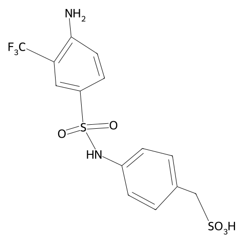 Nc1ccc(S(=O)(=O)Nc2ccc(CS(=O)(=O)O)cc2)cc1C(F)(F)F